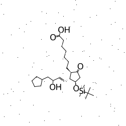 CC(C)(C)[Si](C)(C)O[C@@H]1CC(=O)[C@H](CCCCCCC(=O)O)[C@H]1C=CC(O)CC1CCCC1